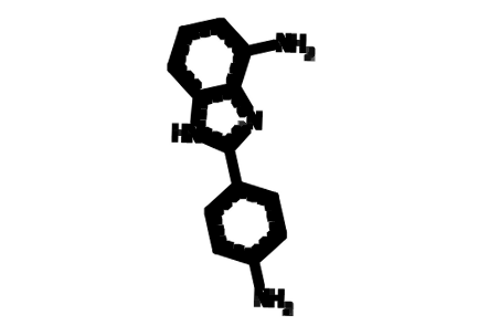 Nc1ccc(-c2nc3c(N)cccc3[nH]2)cc1